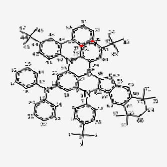 CC(C)(C)c1ccc(N2c3cc(N(c4ccccc4)c4ccccc4)cc4c3B(c3cc(C(C)(C)C)ccc3N4c3ccc(C(C)(C)C)cc3-c3ccccc3)c3sc4cc5c(cc4c32)C(C)(C)CCC5(C)C)cc1